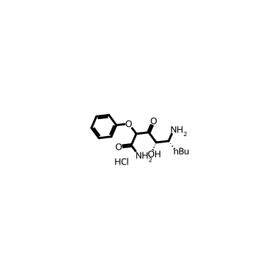 CCCC[C@@H](N)[C@H](O)C(=O)C(Oc1ccccc1)C(N)=O.Cl